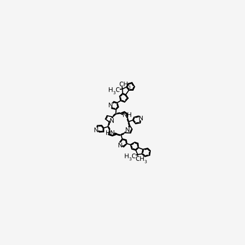 CC1(C)c2ccccc2-c2ccc(-c3cncc(-c4c5nc(c(-c6ccncc6)c6ccc([nH]6)c(-c6cncc(-c7ccc8c(c7)C(C)(C)c7ccccc7-8)c6)c6nc(c(-c7ccncc7)c7ccc4[nH]7)C=C6)C=C5)c3)cc21